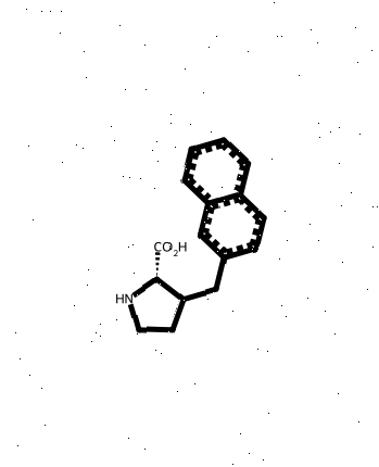 O=C(O)[C@H]1NCCC1Cc1ccc2ccccc2c1